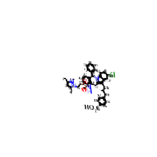 Cc1cc(C)n(CCS(=O)(=O)NCCc2c(CCCc3ccc(C(=O)O)cc3)c3cc(Cl)ccc3n2C(c2ccccc2)c2ccccc2)n1